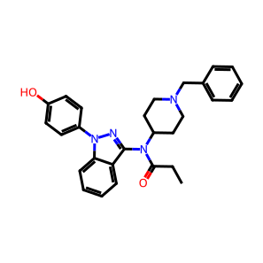 CCC(=O)N(c1nn(-c2ccc(O)cc2)c2ccccc12)C1CCN(Cc2ccccc2)CC1